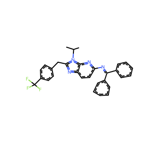 CC(C)n1c(Cc2ccc(C(F)(F)F)cc2)nc2ccc(N=C(c3ccccc3)c3ccccc3)nc21